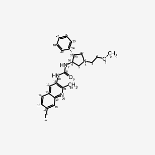 COCCN1C[C@@H](NC(=O)Nc2cc3ccc(F)cc3nc2C)[C@H](c2ccccc2)C1